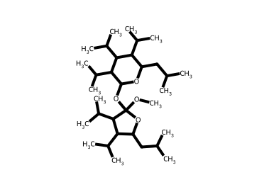 COC1(OC2OC(CC(C)C)C(C(C)C)C(C(C)C)C2C(C)C)OC(CC(C)C)C(C(C)C)C1C(C)C